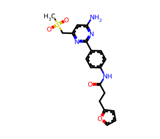 CS(=O)(=O)Cc1cc(N)nc(-c2ccc(NC(=O)CCc3ccco3)cc2)n1